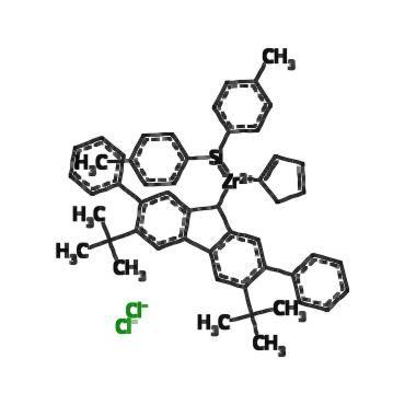 Cc1ccc([Si](c2ccc(C)cc2)=[Zr+2]([C]2=CC=CC2)[CH]2c3cc(-c4ccccc4)c(C(C)(C)C)cc3-c3cc(C(C)(C)C)c(-c4ccccc4)cc32)cc1.[Cl-].[Cl-]